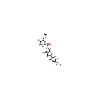 CC(=O)COc1cc(C(=O)CCc2sc(-c3ccc(C(F)(F)F)cc3)nc2C(C)C)ccc1C